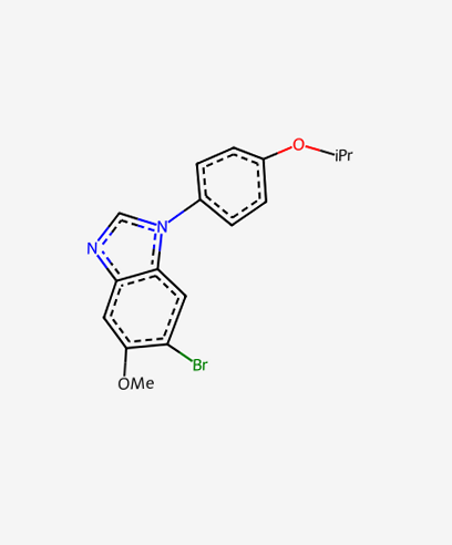 COc1cc2ncn(-c3ccc(OC(C)C)cc3)c2cc1Br